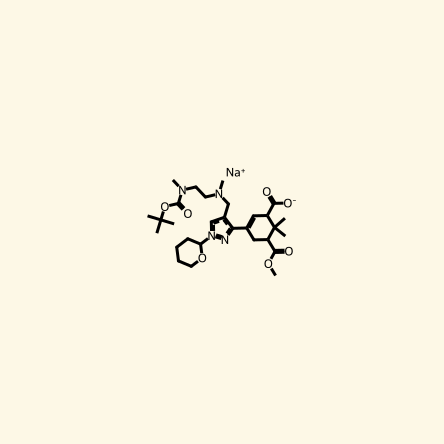 COC(=O)C1CC(c2nn(C3CCCCO3)cc2CN(C)CCN(C)C(=O)OC(C)(C)C)=CC(C(=O)[O-])C1(C)C.[Na+]